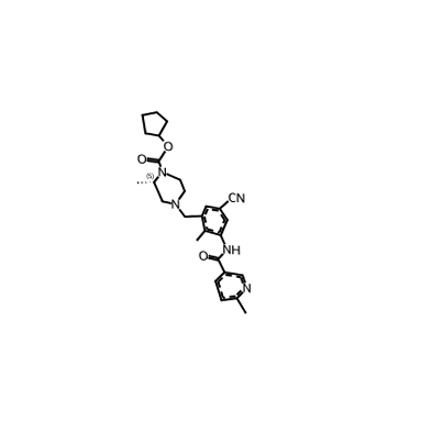 Cc1ccc(C(=O)Nc2cc(C#N)cc(CN3CCN(C(=O)OC4CCCC4)[C@@H](C)C3)c2C)cn1